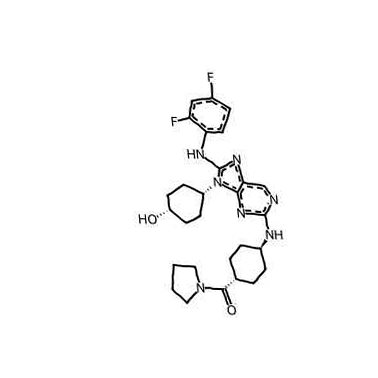 O=C([C@H]1CC[C@H](Nc2ncc3nc(Nc4ccc(F)cc4F)n([C@H]4CC[C@@H](O)CC4)c3n2)CC1)N1CCCC1